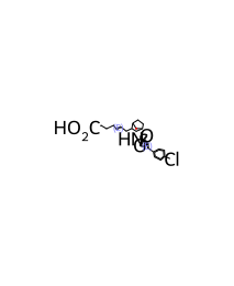 O=C(O)CCC/C=C/CC1C2CCC(C2)C1NS(=O)(=O)/C=C/c1ccc(Cl)cc1